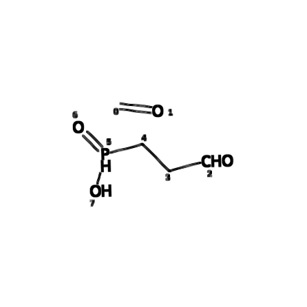 C=O.O=CCC[PH](=O)O